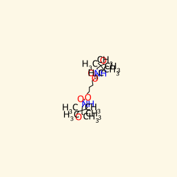 CC(=O)C(CNC(=O)OCCCCCOC(=O)NCC(C(C)=O)(C(C)C)C(C)C)(C(C)C)C(C)C